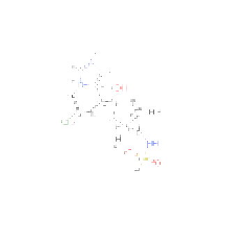 CS(=O)(=O)NC1[C@H]2CC(O)(c3cc(Cl)cn4cncc34)C[C@@H]12